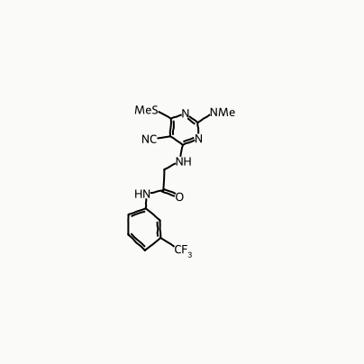 CNc1nc(NCC(=O)Nc2cccc(C(F)(F)F)c2)c(C#N)c(SC)n1